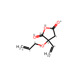 C=CCOC1(C=C)CC(=O)OC1=O